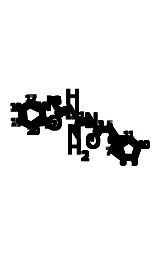 N/C(=N\C(=O)CC1CC2CCC1C2)Nc1nc2ccccc2o1